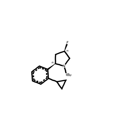 CC(C)(C)N1C[C@H](F)C[C@@H]1c1ccccc1C1CC1